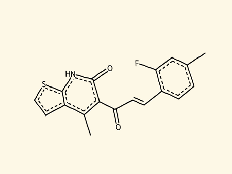 Cc1ccc(C=CC(=O)c2c(C)c3ccsc3[nH]c2=O)c(F)c1